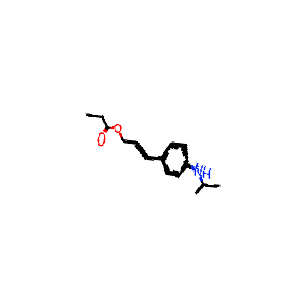 CCC(=O)OC/C=C/c1ccc(NC(C)C)cc1